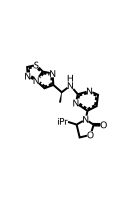 CC(C)C1COC(=O)N1c1ccnc(N[C@@H](C)c2cn3ncsc3n2)n1